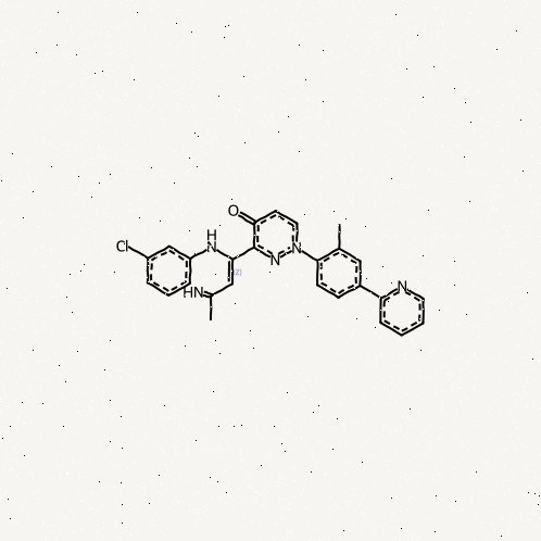 CC(=N)/C=C(\Nc1cccc(Cl)c1)c1nn(-c2ccc(-c3ccccn3)cc2C)ccc1=O